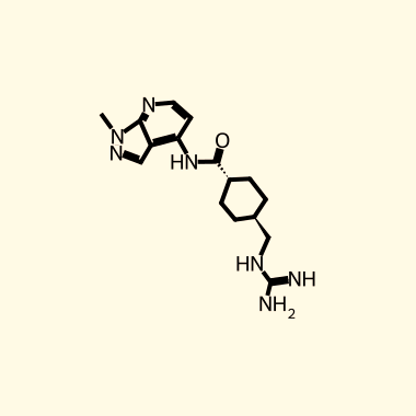 Cn1ncc2c(NC(=O)[C@H]3CC[C@H](CNC(=N)N)CC3)ccnc21